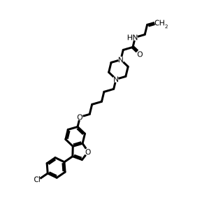 C=CCNC(=O)CN1CCN(CCCCCOc2ccc3c(-c4ccc(Cl)cc4)coc3c2)CC1